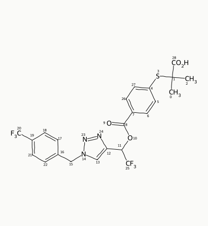 CC(C)(Sc1ccc(C(=O)OC(c2cn(Cc3ccc(C(F)(F)F)cc3)nn2)C(F)(F)F)cc1)C(=O)O